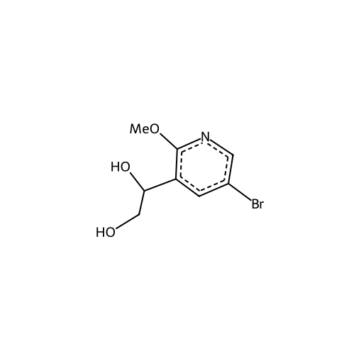 COc1ncc(Br)cc1C(O)CO